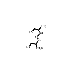 O=C(O)C(CS)N[Se]NC(CS)C(=O)O